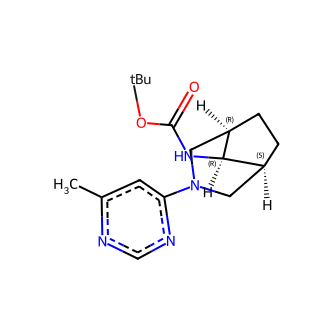 Cc1cc(N2C[C@H]3CC[C@@H](C2)[C@H]3NC(=O)OC(C)(C)C)ncn1